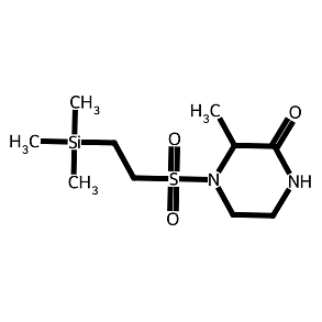 CC1C(=O)NCCN1S(=O)(=O)CC[Si](C)(C)C